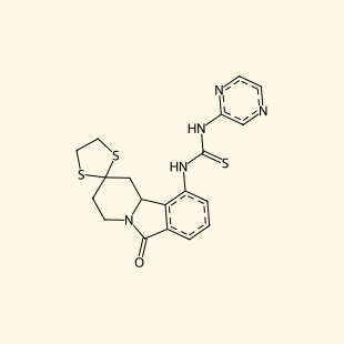 O=C1c2cccc(NC(=S)Nc3cnccn3)c2C2CC3(CCN12)SCCS3